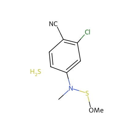 COSN(C)c1ccc(C#N)c(Cl)c1.S